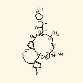 CO[C@H]1/C=C/C[C@H](C)CS(=O)(NC(=O)N[C@@H]2CC[C@@H](O)C2)=NC(=O)c2ccc3c(c2)N(Cc2ccc(Cl)cc2CCCCO3)C[C@@H]2CC[C@H]21